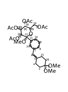 COC1(OC)CCC(=Cc2cccc(C3(OC)O[C@H](COC(C)=O)[C@@H](OC(C)=O)[C@H](OC(C)=O)[C@H]3OC(C)=O)c2)CC1